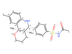 CC(=O)NS(=O)(=O)c1ccc([C@H]2Nc3ccc(C)cc3[C@@H]3OCCC[C@H]23)cc1